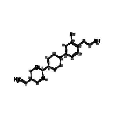 C=CC1COC(C2CCC(c3ccc(CCO)c(F)c3)CC2)OC1